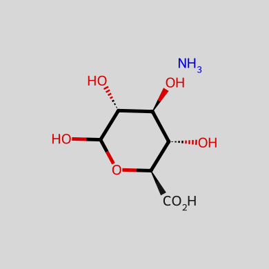 N.O=C(O)[C@H]1OC(O)[C@H](O)[C@@H](O)[C@@H]1O